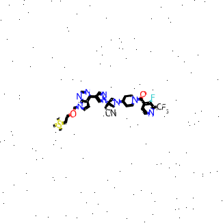 CS(C)(C)CCOCn1ccc2c(-c3cnn(C4(CC#N)CN(C5CCN(C(=O)c6ccnc(C(F)(F)F)c6F)CC5)C4)c3)ncnc21